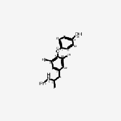 CC(C)NC(C)Cc1cc(I)c(Oc2ccc(O)cc2)c(I)c1